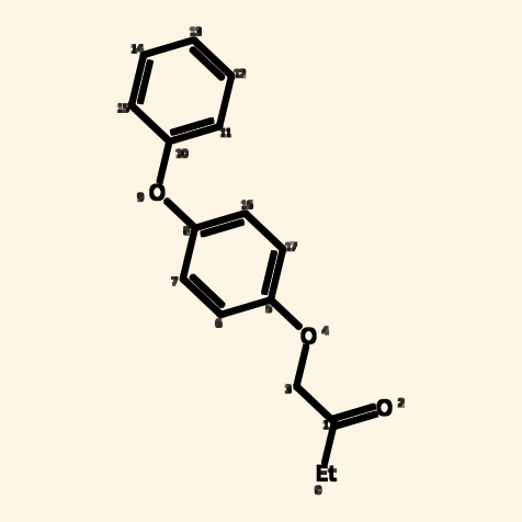 CCC(=O)COc1ccc(Oc2ccccc2)cc1